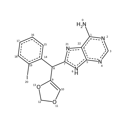 Nc1ncnc2[nH]c(C(C3=COCO3)c3ccccc3I)nc12